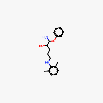 Cc1cccc(C)c1NCCCC(O)C(N)Oc1ccccc1